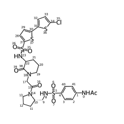 CC(=O)Nc1ccc(S(=O)(=O)NC[C@@H]2CCCN2C(=O)CN2CCCC(NS(=O)(=O)c3ccc(-c4ccc(Cl)s4)s3)C2=O)cc1